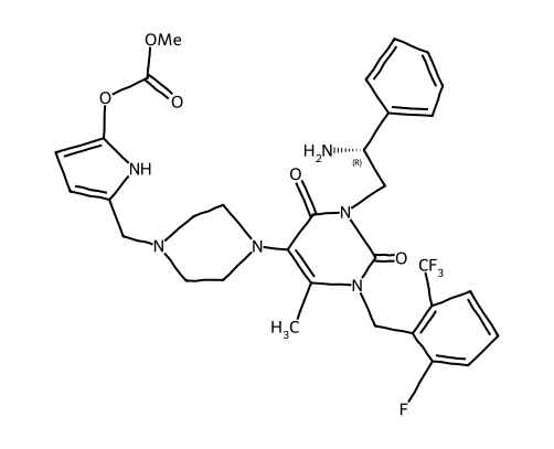 COC(=O)Oc1ccc(CN2CCN(c3c(C)n(Cc4c(F)cccc4C(F)(F)F)c(=O)n(C[C@H](N)c4ccccc4)c3=O)CC2)[nH]1